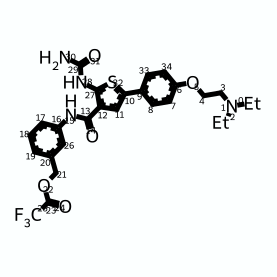 CCN(CC)CCOc1ccc(-c2cc(C(=O)Nc3cccc(COC(=O)C(F)(F)F)c3)c(NC(N)=O)s2)cc1